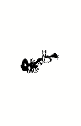 COc1ccccc1-c1c(C)c2cnc(NC(=O)[C@@H]3C[C@@H]3F)cc2n1C